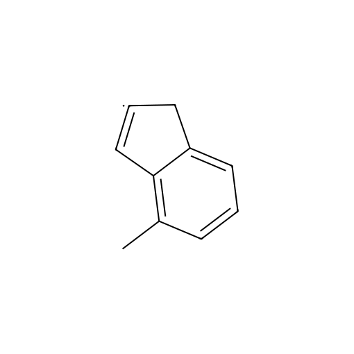 Cc1cccc2c1C=[C]C2